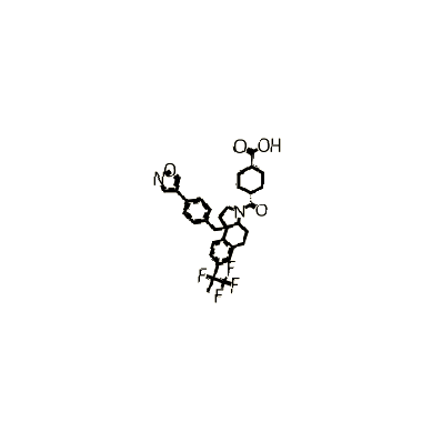 CC(F)(c1ccc2c(c1)CCC1N(C(=O)[C@H]3CC[C@H](C(=O)O)CC3)CCC21Cc1ccc(-c2cnoc2)cc1)C(F)(F)F